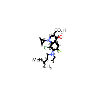 CN[C@H](C)[C@H]1CCN(c2c(F)cc3c(=O)c(C(=O)O)cn(C4CC4)c3c2Cl)C1